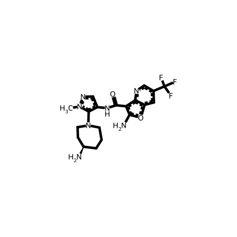 Cn1ncc(NC(=O)c2c(N)oc3cc(C(F)(F)F)cnc23)c1N1CCC[C@@H](N)CC1